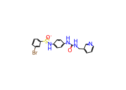 O=C(NCc1cccnc1)Nc1ccc(N[S+]([O-])c2cccc(Br)c2)cc1